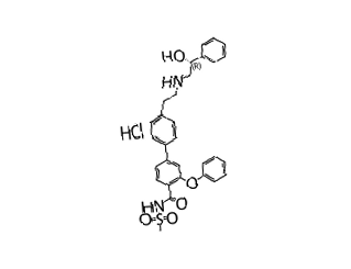 CS(=O)(=O)NC(=O)c1ccc(-c2ccc(CCNC[C@H](O)c3ccccc3)cc2)cc1Oc1ccccc1.Cl